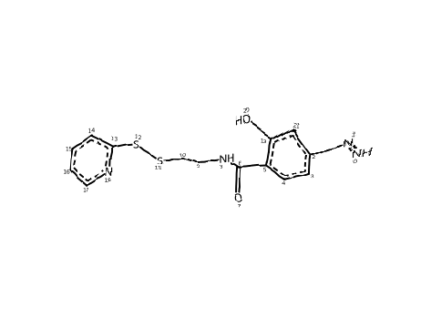 N=Nc1ccc(C(=O)NCCSSc2ccccn2)c(O)c1